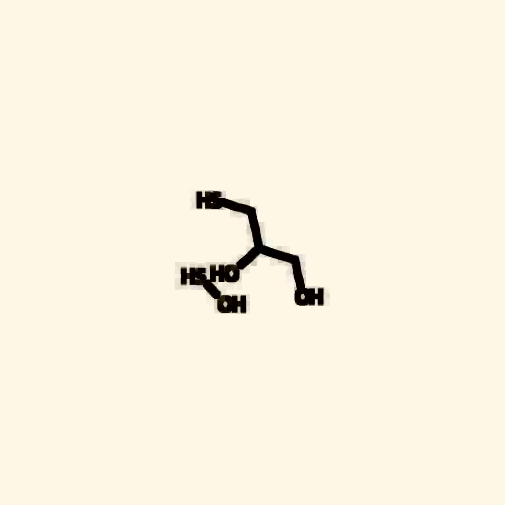 OCC(O)CS.OS